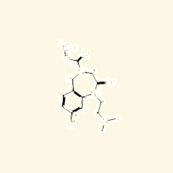 CN(C)CCN1C(=O)CN(C(=O)OC(C)(C)C)Cc2ccc(Cl)cc21